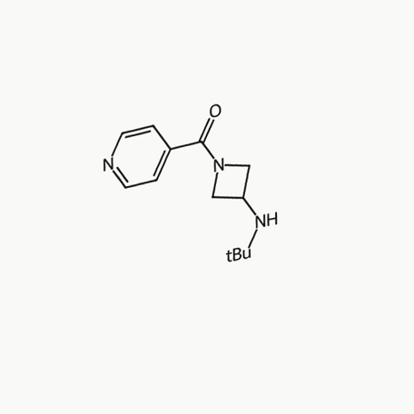 CC(C)(C)NC1CN(C(=O)c2ccncc2)C1